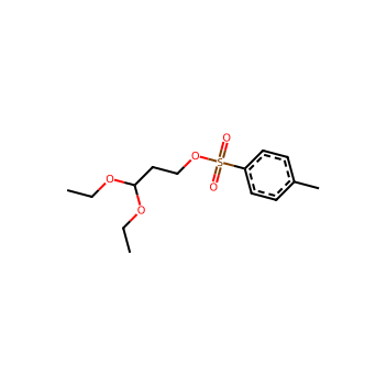 CCOC(CCOS(=O)(=O)c1ccc(C)cc1)OCC